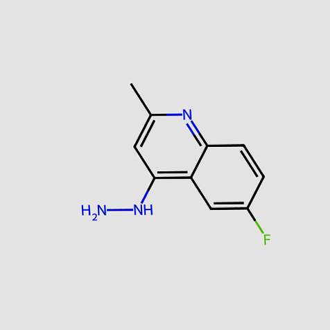 Cc1cc(NN)c2cc(F)ccc2n1